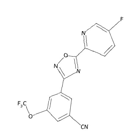 N#Cc1cc(OC(F)(F)F)cc(-c2noc(-c3ccc(F)cn3)n2)c1